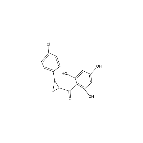 O=C(c1c(O)cc(O)cc1O)C1CC1c1ccc(Cl)cc1